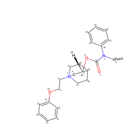 CCCCCN(C(=O)O[C@H]1C[N+]2(CCOc3ccccc3)CCC1CC2)c1ccccc1